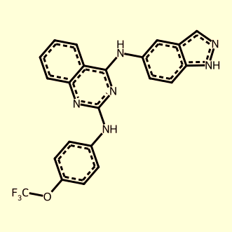 FC(F)(F)Oc1ccc(Nc2nc(Nc3ccc4[nH]ncc4c3)c3ccccc3n2)cc1